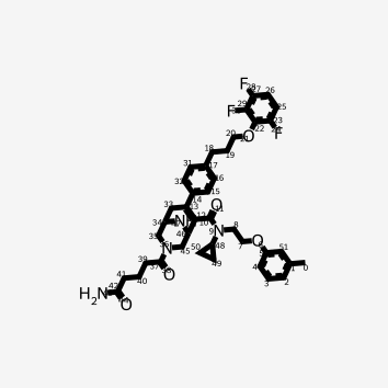 Cc1cccc(OCCN(C(=O)C2=C(c3ccc(CCCOc4c(F)ccc(F)c4F)cc3)CC3CN(C(=O)CCCC(N)=O)CC2N3)C2CC2)c1